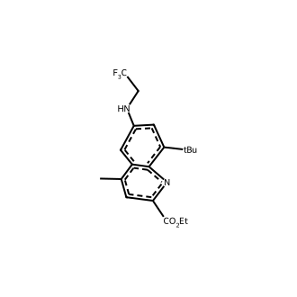 CCOC(=O)c1cc(C)c2cc(NCC(F)(F)F)cc(C(C)(C)C)c2n1